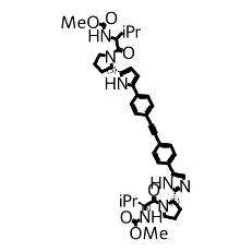 COC(=O)NC(C(=O)N1CCC[C@H]1c1ccc(-c2ccc(C#Cc3ccc(-c4cnc([C@@H]5CCCN5C(=O)[C@@H](NC(=O)OC)C(C)C)[nH]4)cc3)cc2)[nH]1)C(C)C